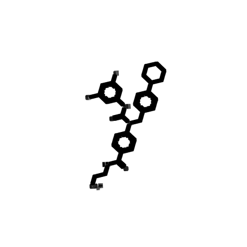 O=C(O)CCNC(=O)c1ccc(N(Cc2ccc(C3CCCCC3)cc2)C(=O)Nc2cc(Cl)cc(Cl)c2)cc1